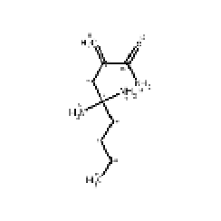 C=C(CC(N)(N)CCCC)C(N)=O